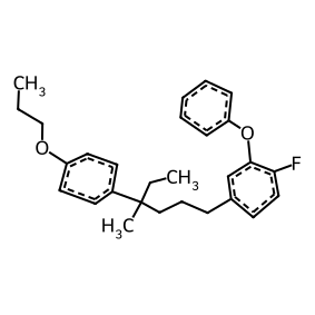 CCCOc1ccc(C(C)(CC)CCCc2ccc(F)c(Oc3ccccc3)c2)cc1